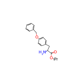 CC(C)OC(=O)[C@@H](N)Cc1ccc(OCc2ccccc2)cc1